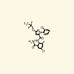 Cc1cc(Cl)cc(C(N)=O)c1NC(=O)c1cc(OCC(F)(F)C(F)(F)F)nn1-c1ncccc1Cl